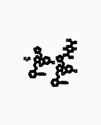 COc1ccccc1OCC1COC(Cn2ccnc2)(c2ccc(Cl)cc2Cl)O1.COc1ccccc1OCC1COC(Cn2ccnc2)(c2ccc(Cl)cc2Cl)O1.O.O=C(O)C(=O)O.O=C(O)C(=O)O